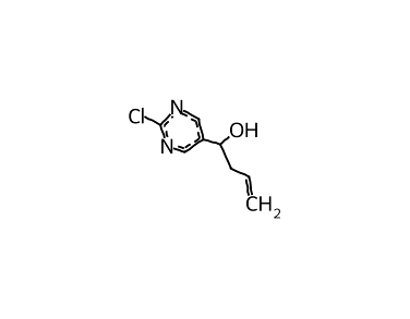 C=CCC(O)c1cnc(Cl)nc1